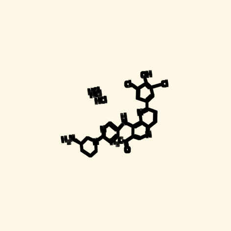 CC(=O)c1cnc2ccc(-c3cc(Cl)c(O)c(Cl)c3)nc2c1Nc1ccc(N2CCC[C@@H](N)C2)nc1.Cl.Cl.Cl